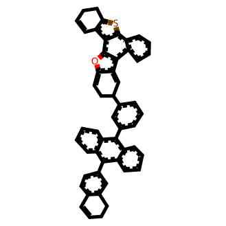 C1=Cc2ccc(-c3c4ccccc4c(-c4cccc(C5C=c6c(oc7c8c9c(sc8c8ccccc8c67)CCC=C9)=CC5)c4)c4ccccc34)cc2CC1